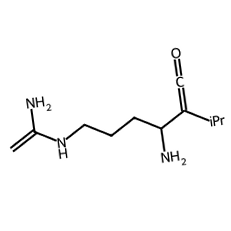 C=C(N)NCCCC(N)C(=C=O)C(C)C